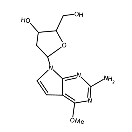 COc1nc(N)nc2c1ccn2C1CC(O)C(CO)O1